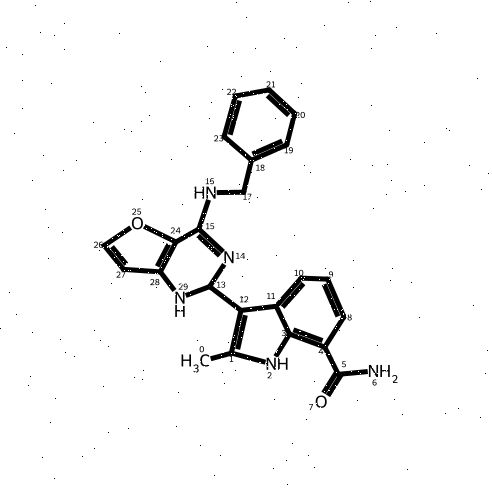 Cc1[nH]c2c(C(N)=O)cccc2c1C1N=C(NCc2ccccc2)c2occc2N1